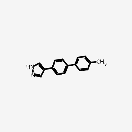 Cc1ccc(-c2ccc(-c3cn[nH]c3)cc2)cc1